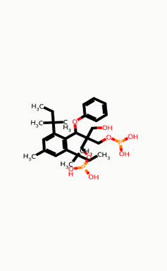 CCC(C)(C)c1cc(C)cc(C(C)(C)CC)c1C(Oc1ccccc1)C(CO)(COP(O)O)COP(O)O